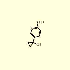 N#CC1(c2ccc(C=O)nc2)CC1